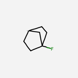 FC12CC[C](CC1)C2